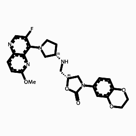 COc1ccc2ncc(F)c(N3CC[C@H](NC[C@@H]4CN(c5ccc6c(c5)OCCO6)C(=O)O4)C3)c2n1